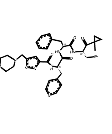 CC(C)C[C@H](NC(=O)[C@H](Cc1ccccc1)NC(=O)[C@H](Cc1ccncc1)NC(=O)c1cc(CN2CCOCC2)on1)C(=O)C1(C)CC1